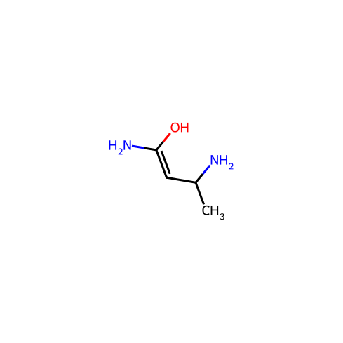 CC(N)/C=C(/N)O